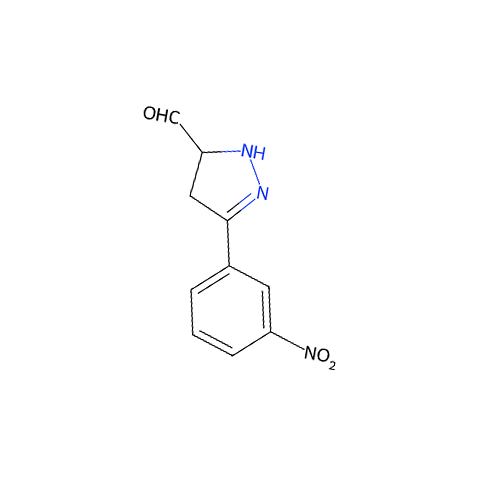 O=CC1CC(c2cccc([N+](=O)[O-])c2)=NN1